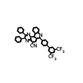 N#Cc1cc2c(-c3ccc(-c4cc(C(F)(F)F)cc(C(F)(F)F)c4)cc3)nc3ccccc3c2c2nc(-c3ccccc3)c(-c3ccccc3)nc12